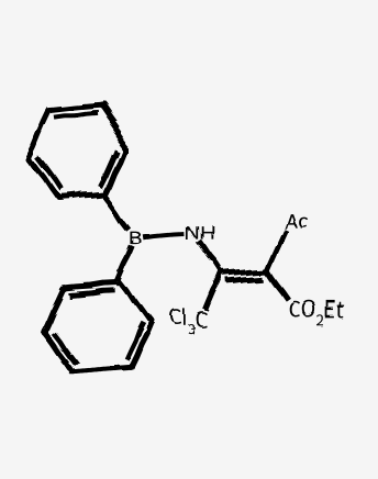 CCOC(=O)/C(C(C)=O)=C(/NB(c1ccccc1)c1ccccc1)C(Cl)(Cl)Cl